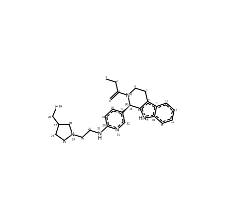 C=C(CC)N1CCc2c([nH]c3ccccc23)[C@H]1c1ccc(NCCN2CCC(CF)C2)nc1